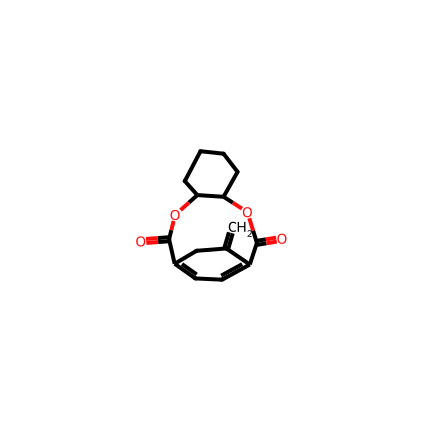 C=C1CC2=CC=C1C(=O)OC1CCCCC1OC2=O